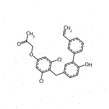 C=Cc1cccc(-c2cc(Cc3c(Cl)cc(OCC(C)=O)cc3Cl)ccc2O)c1